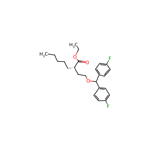 CCCCC[C@@H](CCOC(c1ccc(F)cc1)c1ccc(F)cc1)C(=O)OCC